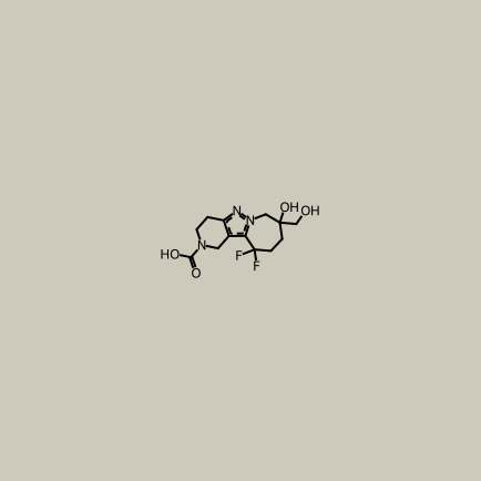 O=C(O)N1CCc2nn3c(c2C1)C(F)(F)CCC(O)(CO)C3